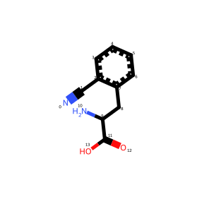 N#Cc1ccccc1CC(N)C(=O)O